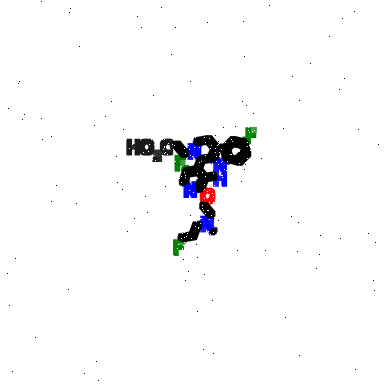 Cc1c(OCCN(C)CCCF)ncc(F)c1C1c2[nH]c3ccc(F)cc3c2CCN1CCC(=O)O